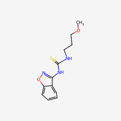 COCCCNC(=S)Nc1noc2ccccc12